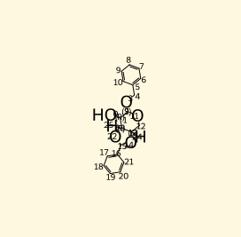 O[C@H]1[C@@H](OCc2ccccc2)OC[C@@H]2OC(c3ccccc3)O[C@H]12